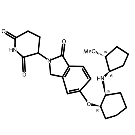 CO[C@@H]1CCC[C@H]1N[C@H]1CCCC[C@H]1Oc1ccc2c(c1)CN(C1CCC(=O)NC1=O)C2=O